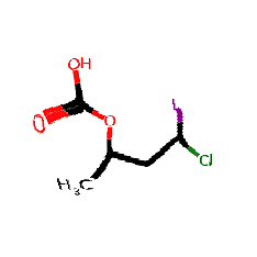 CC(CC(Cl)I)OC(=O)O